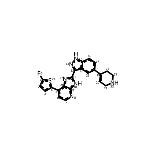 Fc1ccc(-c2ccnc3[nH]c(-c4n[nH]c5ccc(C6=CCNCC6)cc45)nc23)s1